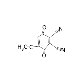 CCC1=CC(=O)C(C#N)=C(C#N)C1=O